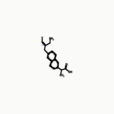 CC(C(=O)O)c1ccc2cc(C/C(=C/F)CN)ccc2c1